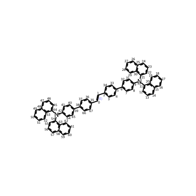 C(=C\c1ccc(-c2ccc(N(c3cccc4ccccc34)c3cccc4ccccc34)cc2)cc1)/c1ccc(-c2ccc(N(c3cccc4ccccc34)c3cccc4ccccc34)cc2)cc1